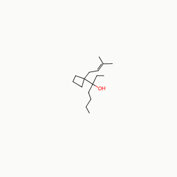 CCCCC(O)(CC)C1(CC=C(C)C)CCC1